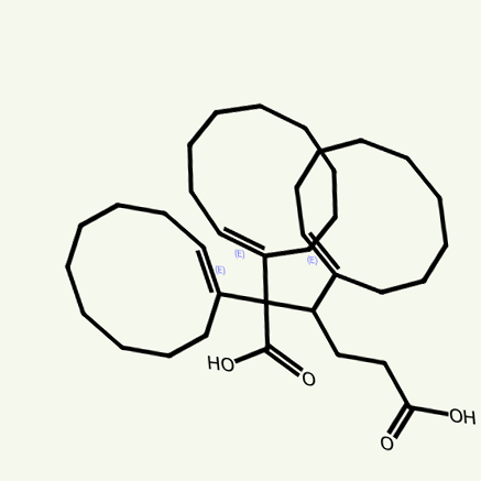 O=C(O)CCC(/C1=C/CCCCCCCC1)C(C(=O)O)(/C1=C/CCCCCCCC1)/C1=C/CCCCCCCC1